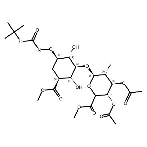 COC(=O)C1O[C@@H](O[C@@H]2[C@@H](O)[C@H](ONC(=O)OC(C)(C)C)C[C@H](C(=O)OC)[C@H]2O)[C@H](C)[C@@H](OC(C)=O)[C@@H]1OC(C)=O